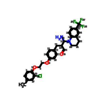 Cc1ccc(OCCOc2ccc(CC(C=O)C(N)N3CCCc4cc(C(F)(F)F)ccc43)cc2)c(Cl)c1